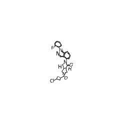 O=C(C1CC(Cl)C1)N1C[C@H]2CN(c3cccc4c3cnn4-c3ccccc3F)C(=O)[C@H]2C1